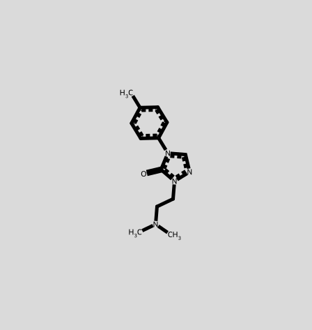 Cc1ccc(-n2cnn(CCN(C)C)c2=O)cc1